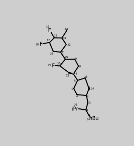 CCCCC(CC1CCC(C2CCC(C3CC(C)C(F)C(F)C3)C(F)C2)CC1)C(C)C